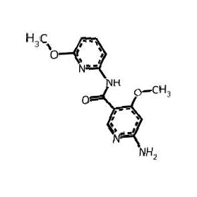 COc1cccc(NC(=O)c2cnc(N)cc2OC)n1